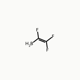 BC(F)=C(F)F